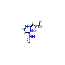 CONc1ccnc2cc(C(C)C)nn12